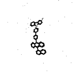 Fc1ccc2c(c1)c1ccccc1n2-c1ccc(-c2ccc(-c3c4ccccc4c(-c4cccc5ccccc45)c4ccccc34)cc2)cc1